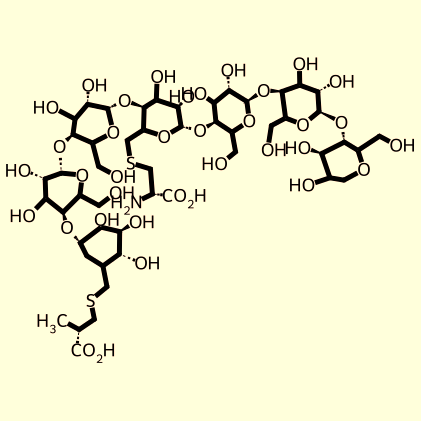 C[C@H](CSCC1C[C@H](O[C@@H]2C(CO)O[C@@H](O[C@@H]3C(CO)O[C@@H](O[C@@H]4C(CSC[C@@H](N)C(=O)O)O[C@@H](O[C@@H]5C(CO)O[C@H](O[C@@H]6C(CO)O[C@H](O[C@@H]7C(CO)OCC(O)[C@H]7O)[C@@H](O)C6O)[C@@H](O)C5O)[C@@H](O)C4O)[C@@H](O)C3O)[C@@H](O)C2O)C(O)[C@@H](O)[C@@H]1O)C(=O)O